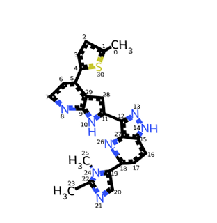 Cc1ccc(-c2ccnc3[nH]c(-c4n[nH]c5ccc(-c6cnc(C)n6C)nc45)cc23)s1